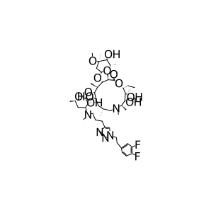 CC[C@H]1OC(=O)[C@H](C)[C@@H](O[C@H]2C[C@@](C)(OC)[C@@H](O)[C@H](C)O2)[C@H](C)[C@@H](O[C@@H]2O[C@H](C)C[C@H](N(C)CCCc3cn(CCc4ccc(F)c(F)c4)nn3)[C@H]2O)[C@](C)(O)C[C@@H](C)CN(C)[C@H](C)[C@@H](O)[C@]1(C)O